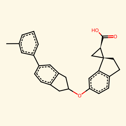 Cc1cccc(-c2ccc3c(c2)CC(Oc2ccc4c(c2)[C@]2(CC4)C[C@H]2C(=O)O)C3)c1